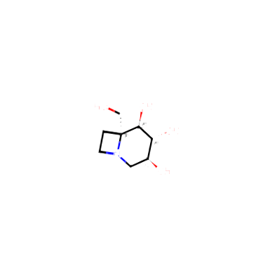 OC[C@@]12CCN1C[C@H](O)[C@@H](O)[C@@H]2O